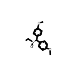 CC[S+]([O-])C(c1ccc(OC)cc1)c1ccc(OC)cc1